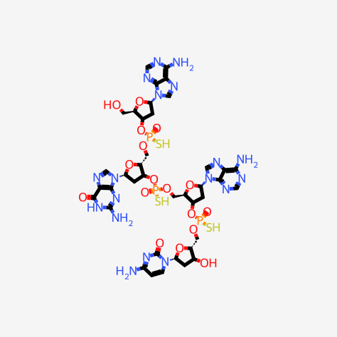 Nc1ccn([C@H]2CC(O)[C@@H](COP(=O)(S)OC3C[C@H](n4cnc5c(N)ncnc54)O[C@@H]3COP(=O)(S)OC3C[C@H](n4cnc5c(=O)[nH]c(N)nc54)O[C@@H]3COP(=O)(S)OC3C[C@H](n4cnc5c(N)ncnc54)O[C@@H]3CO)O2)c(=O)n1